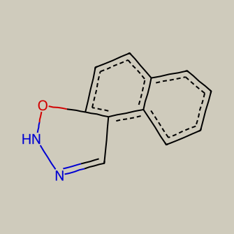 C1=NNOc2ccc3ccccc3c21